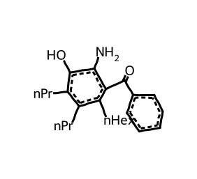 CCCCCCc1c(CCC)c(CCC)c(O)c(N)c1C(=O)c1ccccc1